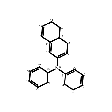 C1=CCCC(N(C2=CCC3CCC=CC3=C2)C2C=CC=CC2)=C1